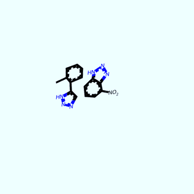 Cc1ccccc1-c1cnn[nH]1.O=[N+]([O-])c1cccc2[nH]nnc12